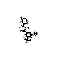 Cc1cncc([C@@H](C)NC(=O)c2cc(C(F)(F)F)cc(C(F)(F)F)c2)n1